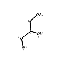 CCCCOC(O)COC(C)=O